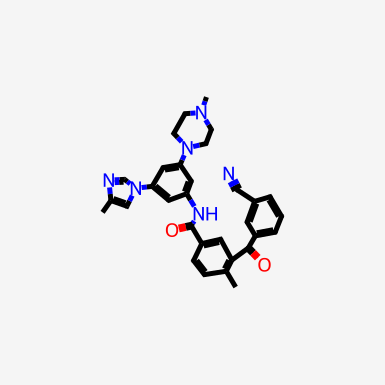 Cc1cn(-c2cc(NC(=O)c3ccc(C)c(C(=O)c4cccc(C#N)c4)c3)cc(N3CCN(C)CC3)c2)cn1